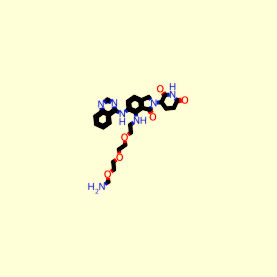 NCOCCOCCOCCNc1c(Nc2ncnc3ccccc23)ccc2c1C(=O)N(C1CCC(=O)NC1=O)C2